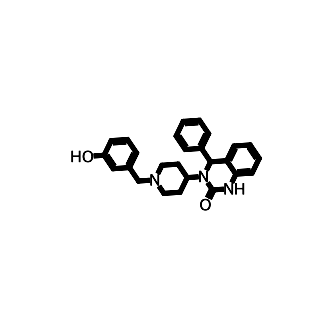 O=C1Nc2ccccc2C(c2ccccc2)N1C1CCN(Cc2cccc(O)c2)CC1